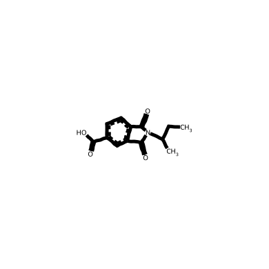 CCC(C)N1C(=O)c2ccc(C(=O)O)cc2C1=O